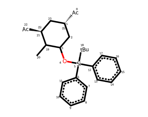 CC(=O)[C@@H]1CC(O[Si](c2ccccc2)(c2ccccc2)C(C)(C)C)C(C)[C@@H](C(C)=O)C1